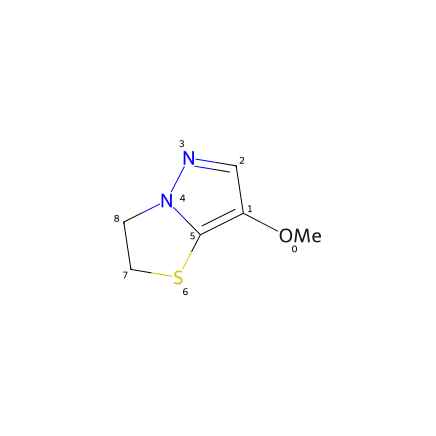 COc1cnn2c1SCC2